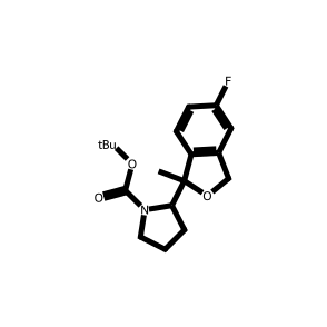 CC(C)(C)OC(=O)N1CCCC1C1(C)OCc2cc(F)ccc21